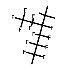 CC(C)(C)C(F)(C(F)(F)C(F)(F)F)C(F)(F)C(F)(F)C(C)(F)F